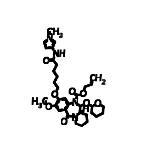 C=CCOC(=O)N1c2cc(OCCCCCC(=O)Nc3ccn(C)c3)c(OC)cc2C(=O)N2CCCC[C@H]2C1OC1CCCCO1